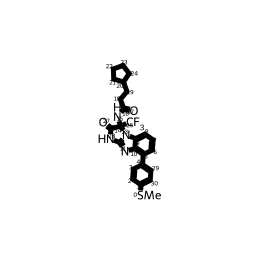 CSc1ccc(-c2cccc3c2nc2n3C(NC(=O)CCC3CCCC3)(C(F)(F)F)C(=O)N2)cc1